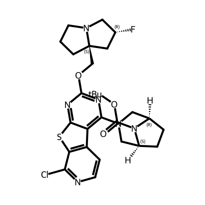 CC(C)(C)OC(=O)N1[C@@H]2CC[C@H]1CN(c1nc(OC[C@@]34CCCN3C[C@H](F)C4)nc3sc4c(Cl)nccc4c13)C2